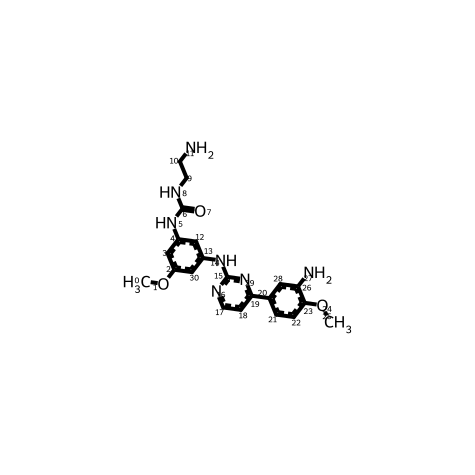 COc1cc(NC(=O)NCCN)cc(Nc2nccc(-c3ccc(OC)c(N)c3)n2)c1